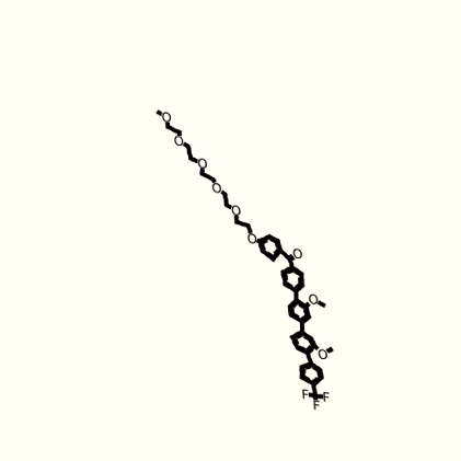 COCCOCCOCCOCCOCCOc1ccc(C(=O)c2ccc(-c3ccc(-c4ccc(-c5ccc(C(F)(F)F)cc5)c(OC)c4)cc3OC)cc2)cc1